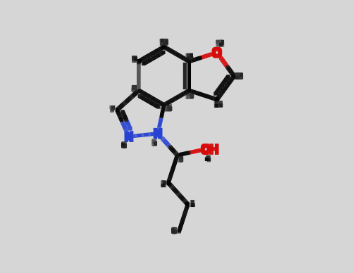 CCCC(O)n1ncc2ccc3occc3c21